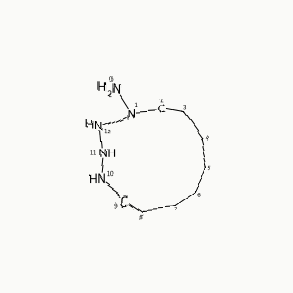 NN1CCCCCCCCNNN1